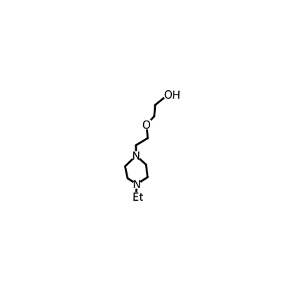 CCN1CCN(CCOCCO)CC1